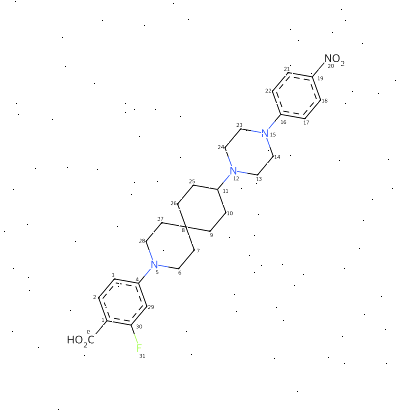 O=C(O)c1ccc(N2CCC3(CCC(N4CCN(c5ccc([N+](=O)[O-])cc5)CC4)CC3)CC2)cc1F